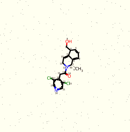 C[C@H]1C2=CC=CC(CO)C2=CCN1C(=O)Cc1c(Cl)cncc1Cl